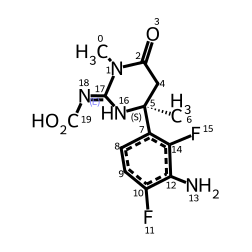 CN1C(=O)C[C@@](C)(c2ccc(F)c(N)c2F)N/C1=N\C(=O)O